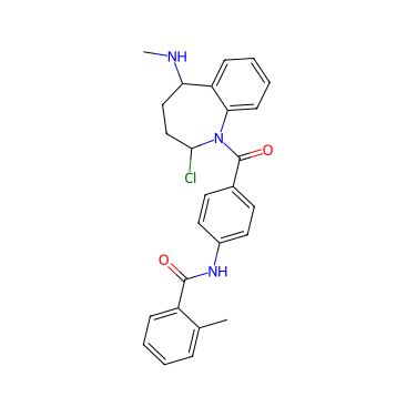 CNC1CCC(Cl)N(C(=O)c2ccc(NC(=O)c3ccccc3C)cc2)c2ccccc21